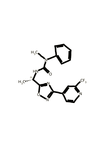 C[C@H](NC(=O)N(C)c1ccccc1)c1nc(-c2ccnc(C(F)(F)F)c2)no1